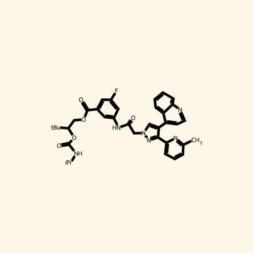 Cc1cccc(-c2nn(CC(=O)Nc3cc(F)cc(C(=O)OCC(OC(=O)NC(C)C)C(C)(C)C)c3)cc2-c2ccnc3ccccc23)n1